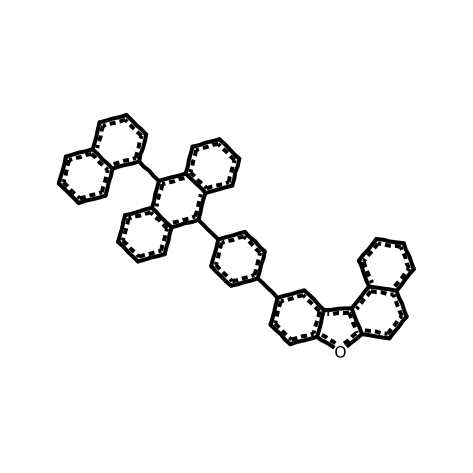 c1ccc2c(-c3c4ccccc4c(-c4ccc(-c5ccc6oc7ccc8ccccc8c7c6c5)cc4)c4ccccc34)cccc2c1